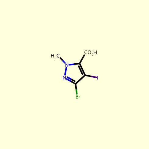 Cn1nc(Br)c(I)c1C(=O)O